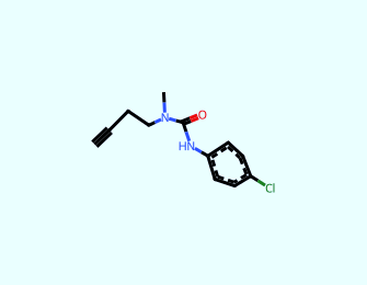 C#CCCN(C)C(=O)Nc1ccc(Cl)cc1